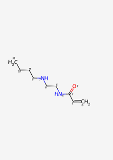 C=CC(=O)NCCNCCCC